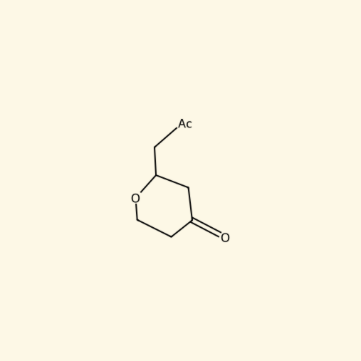 CC(=O)CC1CC(=O)CCO1